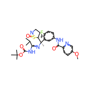 COc1ccc(C(=O)Nc2ccc(F)c([C@@]3(C)N=C(NC(=O)OC(C)(C)C)C(C)(C)[S@@]4(=O)=NCC[C@@H]34)c2)nc1